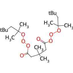 CC(C)(C)CC(C)(C)OOOC(=O)CC(C)(C)CC(=O)OOOC(C)(C)CC(C)(C)C